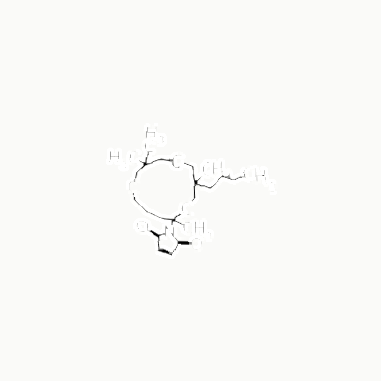 CCCCC1(C)CCCC(C)(C)CCCCCC(C)(N2C(=O)C=CC2=O)CC1